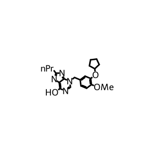 CCCc1nc2c(O)ncn(Cc3ccc(OC)c(OC4CCCC4)c3)c-2n1